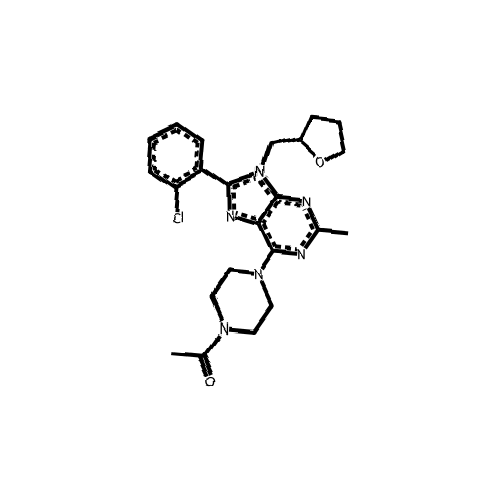 CC(=O)N1CCN(c2nc(C)nc3c2nc(-c2ccccc2Cl)n3CC2CCCO2)CC1